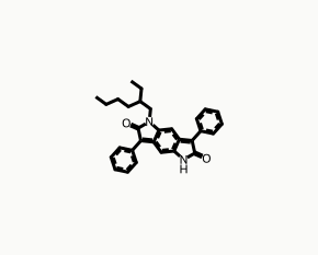 CCCCC(CC)CN1C(=O)C(c2ccccc2)=c2cc3c(cc21)=C(c1ccccc1)C(=O)N3